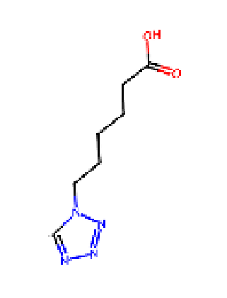 O=C(O)CCCCCn1[c]nnn1